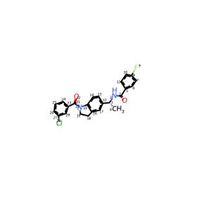 C[C@@H](NC(=O)c1ccc(F)cc1)c1ccc2c(c1)CCN2C(=O)c1cccc(Cl)c1